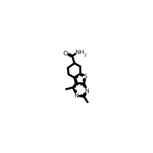 Cc1nc(C)c2c3c(sc2n1)CC(C(N)=O)CC3